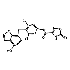 O=C(Nc1cc(Cl)c(Cc2ccc(O)c3ccoc23)c(Cl)c1)c1noc(=O)[nH]1